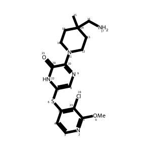 COc1nccc(Sc2cnc(N3CCC(C)(CN)CC3)c(=O)[nH]2)c1Cl